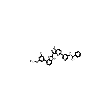 COc1cc(F)cc(-c2nccc3[nH]c(-c4n[nH]c5ccc(-c6cncc(NC(O)c7ccccc7)c6)nc45)nc23)c1